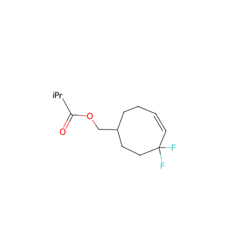 CC(C)C(=O)OCC1CC/C=C\C(F)(F)CC1